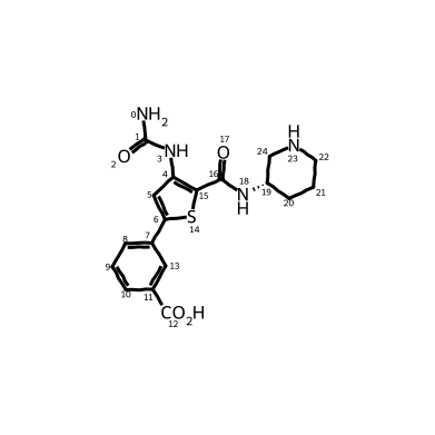 NC(=O)Nc1cc(-c2cccc(C(=O)O)c2)sc1C(=O)N[C@H]1CCCNC1